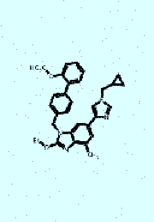 CCOc1nc2c(C)cc(-c3cn(CC4CC4)cn3)cc2n1Cc1ccc(-c2ccccc2OC(=O)O)cc1